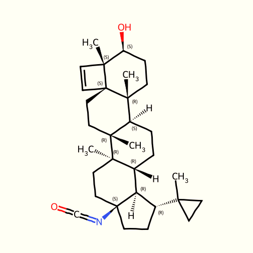 CC1([C@@H]2CC[C@]3(N=C=O)CC[C@]4(C)[C@H](CC[C@@H]5[C@@]6(C)CC[C@H](O)[C@@]7(C)C=C[C@]76CC[C@]54C)[C@@H]23)CC1